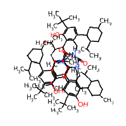 CC1CCC(C(C)C)C(c2cc(C(C)(C)C)c(O)c(C3CC(C)CCC3C(C)C)c2Cn2c(=O)n(Cc3c(C4CC(C)CCC4C(C)C)cc(C(C)(C)C)c(O)c3C3CC(C)CCC3C(C)C)c(=O)n(Cc3c(C4CC(C)CCC4C(C)C)cc(C(C)(C)C)c(O)c3C3CC(C)CCC3C(C)C)c2=O)C1